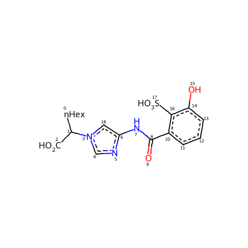 CCCCCCC(C(=O)O)n1cnc(NC(=O)c2cccc(O)c2S(=O)(=O)O)c1